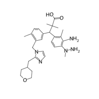 Cc1ccc(C(c2ccc(N(C)N)c(N)c2C)C(C)(C)C(=O)O)cc1Cn1ccnc1CC1CCOCC1